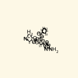 C=CCOP(=O)(OCCC#N)O[C@H]1C[C@H](n2cnc(N)nc2=O)O[C@@H]1COC(=O)c1ccccc1